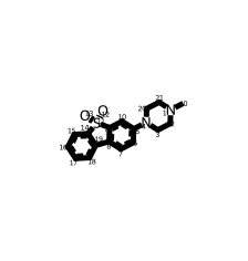 CN1CCN(c2ccc3c(c2)S(=O)(=O)c2ccccc2-3)CC1